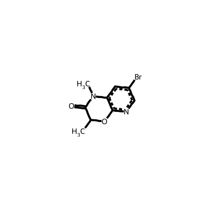 CC1Oc2ncc(Br)cc2N(C)C1=O